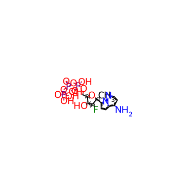 C[C@@]1(c2ccc3c(N)ccnn23)O[C@H](COP(=O)(O)OP(=O)(O)OP(=O)(O)O)[C@@H](O)[C@H]1F